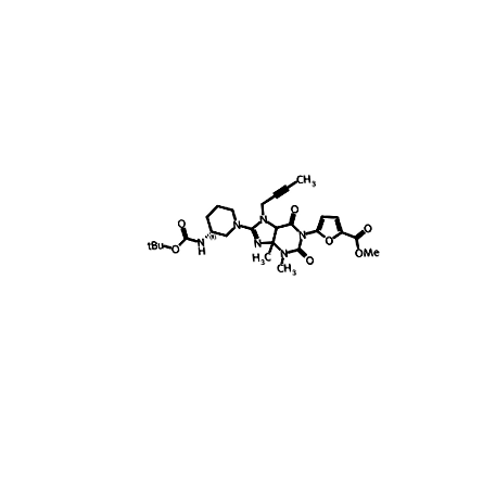 CC#CCN1C(N2CCC[C@@H](NC(=O)OC(C)(C)C)C2)=NC2(C)C1C(=O)N(c1ccc(C(=O)OC)o1)C(=O)N2C